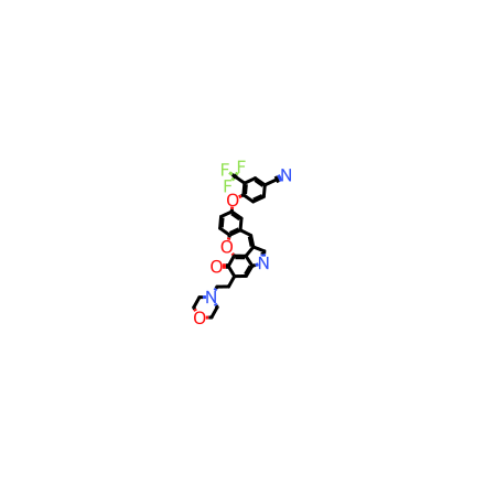 N#Cc1ccc(Oc2ccc3c(c2)C=C2C=NC4=CC(CCN5CCOCC5)C(=O)C(=C24)O3)c(C(F)(F)F)c1